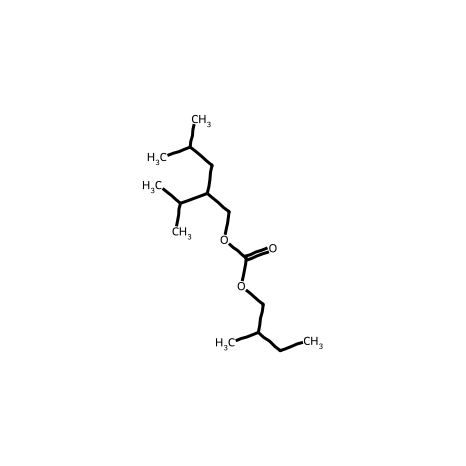 CCC(C)COC(=O)OCC(CC(C)C)C(C)C